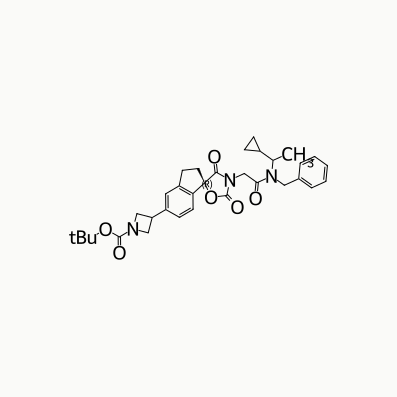 CC(C1CC1)N(Cc1ccccc1)C(=O)CN1C(=O)O[C@@]2(CCc3cc(C4CN(C(=O)OC(C)(C)C)C4)ccc32)C1=O